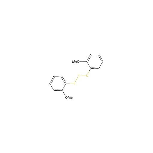 COc1ccccc1SSSc1ccccc1OC